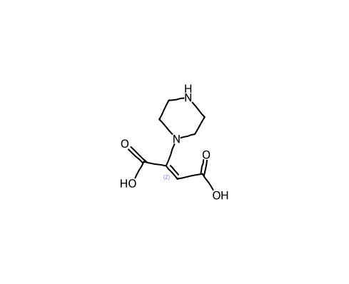 O=C(O)/C=C(/C(=O)O)N1CCNCC1